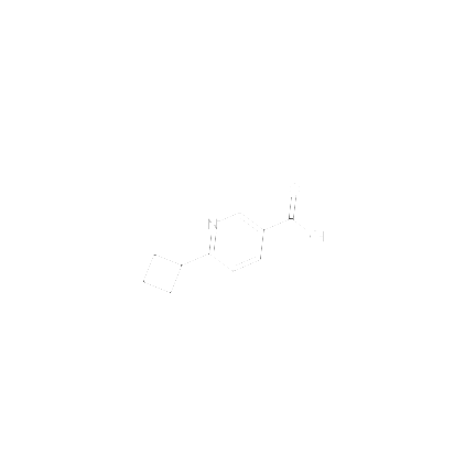 O=C(O)c1ccc(C2CCC2)nc1